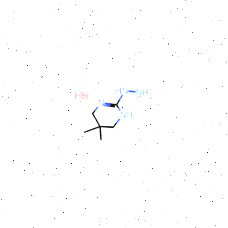 Br.CC1(C)CN=C(NN)NC1